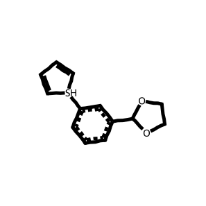 C1=C[SH](c2cccc(C3OCCO3)c2)C=C1